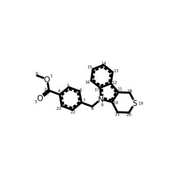 COC(=O)c1ccc(Cn2c3c(c4ccccc42)CSCC3)cc1